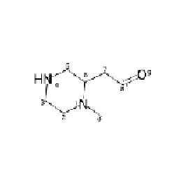 CN1CCNCC1C[C]=O